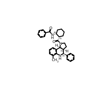 Cc1cccc2c1N[C@H](c1ccccc1)[C@@H]1CCN(C(=O)[C@H]3CCCC[C@H]3NC(=O)c3ccccc3)[C@H]21